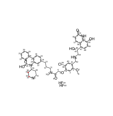 COc1cc(OCC(=O)N(C)CCCc2ccc(-c3ccccc3)c(N(C(=O)O)C34CCN(CC3)CC4)c2)c(Cl)cc1CNC[C@H](O)c1ccc(O)c2[nH]c(=O)ccc12.F.F